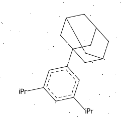 CC(C)c1[c]c(C(C)C)cc(C23CC4CC(CC(C4)C2)C3)c1